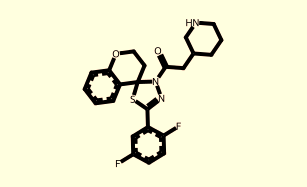 O=C(CC1CCCNC1)N1N=C(c2cc(F)ccc2F)SC12CCOc1ccccc12